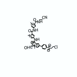 Cn1cc(NC(=O)c2cc(NC(=O)C3=CC(c4ccc(S(=O)(=O)CCCl)cc4)=C[N+]3(C)NC=O)cn2C)cc1C(=O)NCCC#N